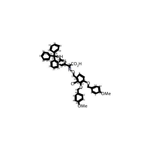 COc1ccc(COc2ccc(CO/N=C(\C(=O)O)c3csc(NC(c4ccccc4)(c4ccccc4)c4ccccc4)n3)c(Cl)c2OCc2ccc(OC)cc2)cc1